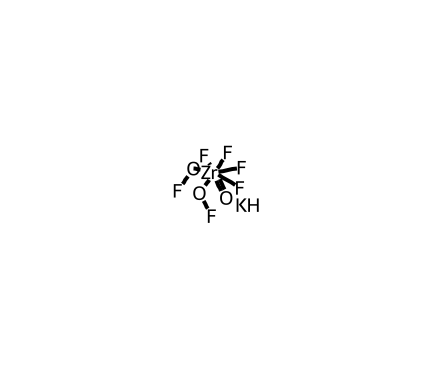 [KH].[O]=[Zr]([F])([F])([F])([F])([O]F)[O]F